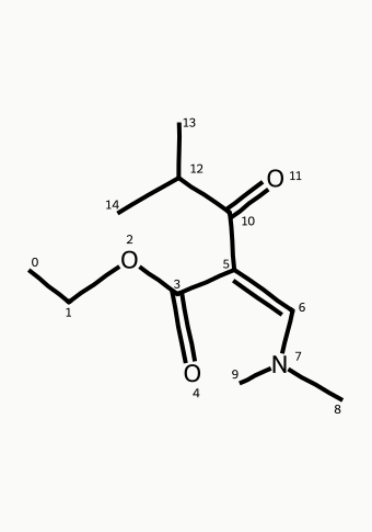 CCOC(=O)/C(=C\N(C)C)C(=O)C(C)C